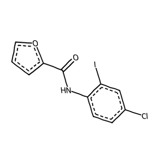 O=C(Nc1ccc(Cl)cc1I)c1ccco1